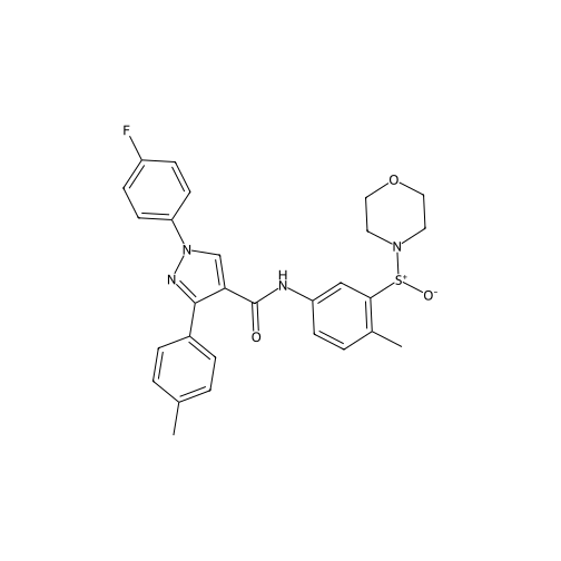 Cc1ccc(-c2nn(-c3ccc(F)cc3)cc2C(=O)Nc2ccc(C)c([S+]([O-])N3CCOCC3)c2)cc1